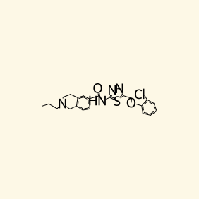 CCCN1CCc2cc(C(=O)Nc3nnc(COc4ccccc4Cl)s3)ccc2C1